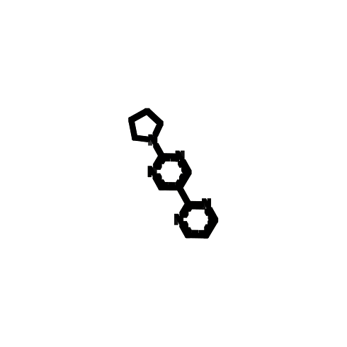 c1cnc(-c2cnc(N3CCCC3)nc2)nc1